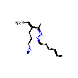 C=NCCCC(=C\NC)/C(C)=N\N=C/CC/C=C/C